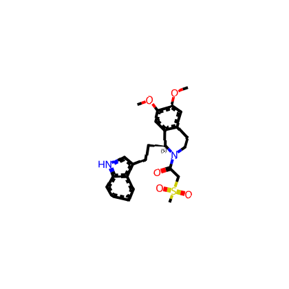 COc1cc2c(cc1OC)[C@H](CCc1c[nH]c3ccccc13)N(C(=O)CS(C)(=O)=O)CC2